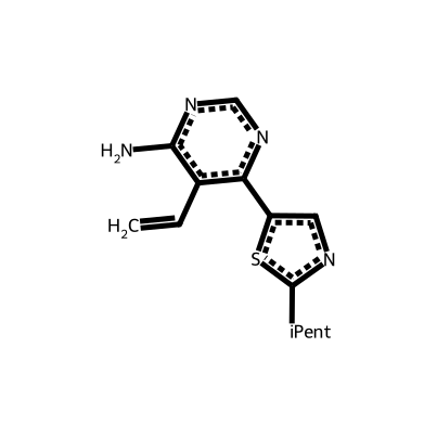 C=Cc1c(N)ncnc1-c1cnc(C(C)CCC)s1